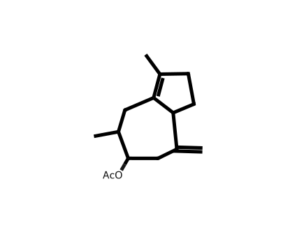 C=C1CC(OC(C)=O)C(C)CC2=C(C)CCC12